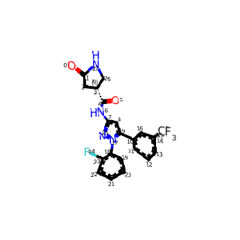 O=C1C[C@@H](C(=O)Nc2cc(-c3cccc(C(F)(F)F)c3)n(-c3ccccc3F)n2)CN1